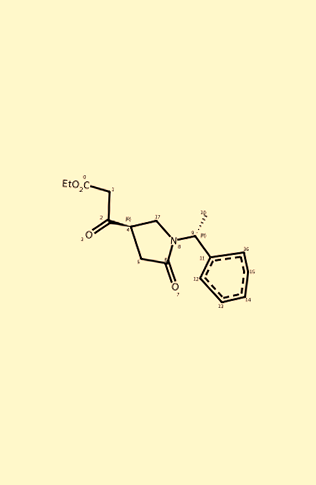 CCOC(=O)CC(=O)[C@@H]1CC(=O)N([C@H](C)c2ccccc2)C1